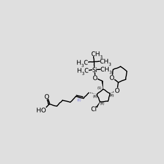 CC(C)(C)[Si](C)(C)OC[C@@H]1[C@@H](C/C=C/CCCC(=O)O)[C@H](Cl)C[C@H]1OC1CCCCO1